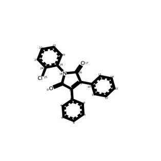 O=C1C(c2ccccc2)=C(c2ccccc2)C(=O)N1c1ccccc1Cl